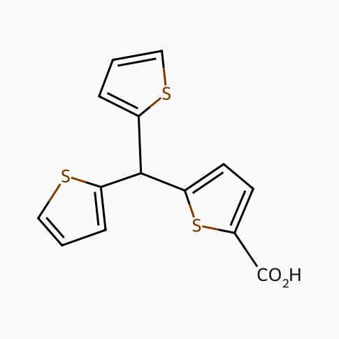 O=C(O)c1ccc(C(c2cccs2)c2cccs2)s1